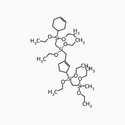 CCO[Si](C)(C[Si](OCC)(OCC)C1C=C(C[Si](C[Si](OCC)(OCC)C2CC=CCC2)(OCC)OCC)CC1)OCC